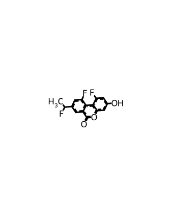 CC(F)c1cc(F)c2c(c1)c(=O)oc1cc(O)cc(F)c12